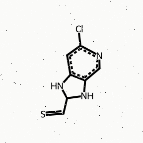 S=CC1Nc2cnc(Cl)cc2N1